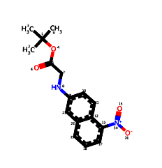 CC(C)(C)OC(=O)CNc1ccc2c([N+](=O)[O-])cccc2c1